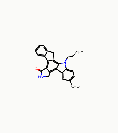 O=CCCn1c2ccc(C=O)cc2c2c3c(c4c(c21)Cc1ccccc1-4)C(=O)NC3